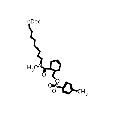 CCCCCCCCCCCCCCCCCCN(C)C(=O)C1CC=CCC1COS(=O)(=O)c1ccc(C)cc1